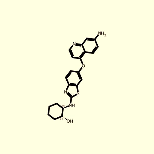 Nc1ccc2c(Oc3ccc4nc(N[C@@H]5CCCC[C@H]5O)sc4c3)ccnc2c1